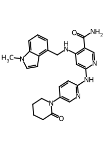 Cn1ccc2c(CNc3cc(Nc4ccc(N5CCCCC5=O)cn4)ncc3C(N)=O)cccc21